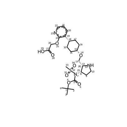 CC(C)(C)OC(=O)N([C@H]1CCN[C@H]1CO[C@H]1CC[C@@H](c2cccnc2OCC(=O)O)CC1)S(C)(=O)=O